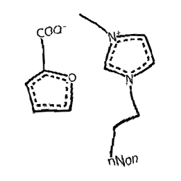 CCCCCCCCCCCn1cc[n+](C)c1.O=C([O-])c1ccco1